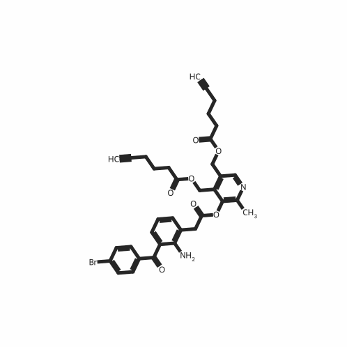 C#CCCCC(=O)OCc1cnc(C)c(OC(=O)Cc2cccc(C(=O)c3ccc(Br)cc3)c2N)c1COC(=O)CCCC#C